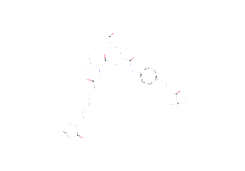 CC(C)[C@H](NC(=O)CCCCCN1C(=O)C=CC1O)C(=O)N[C@@H](CCC(=O)O)C(=O)Nc1ccc(COC(=O)C(C)(C)C)cc1